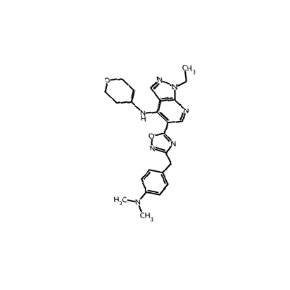 CCn1ncc2c(NC3CCOCC3)c(-c3nc(Cc4ccc(N(C)C)cc4)no3)cnc21